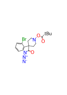 CC(C)(C)C(=O)ON1CCC(C(=O)N=[N+]=[N-])(c2ccccc2Br)CC1